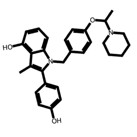 Cc1c(-c2ccc(O)cc2)n(Cc2ccc(OC(C)N3CCCCC3)cc2)c2cccc(O)c12